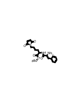 CC(C)(C)OC(=O)C(CCCCN1C(=O)C=CC1=O)NC(=O)C(N)Cc1ccccc1